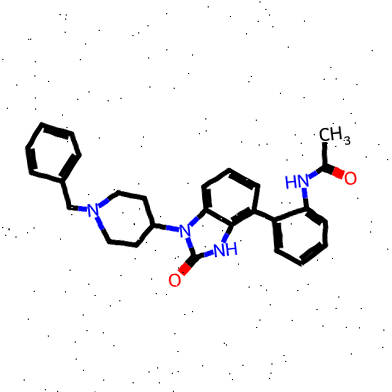 CC(=O)Nc1ccccc1-c1cccc2c1[nH]c(=O)n2C1CCN(Cc2ccccc2)CC1